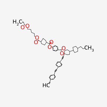 C#Cc1ccc(C#Cc2ccc(C#CC3(OC(=O)c4ccc(OC(=O)C5CCC(C(=O)OCCCCCOC(=O)C=C)CC5)cc4)CCC(C4CCC(CCC)CC4)CC3)cc2)cc1